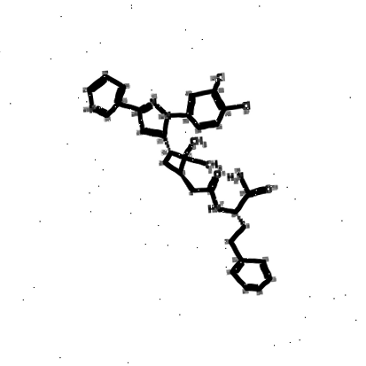 CC1(C)[C@@H](CC(=O)N[C@@H](CCc2ccccc2)C(N)=O)C[C@@H]1c1cc(-c2cccnc2)nn1-c1ccc(Cl)c(Cl)c1